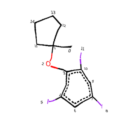 CC1(Oc2c(I)cc(I)cc2I)CCCC1